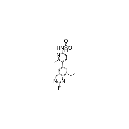 CCc1cc(-c2ccc(N[SH](=O)=O)nc2C)cc2cnc(F)nc12